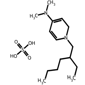 CCCCC(CC)CN1C=CC(N(C)C)=CC1.O=S(=O)(O)O